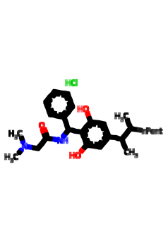 CCCCCC(C)C(C)c1cc(O)c(C(NC(=O)CN(C)C)c2ccccc2)c(O)c1.Cl